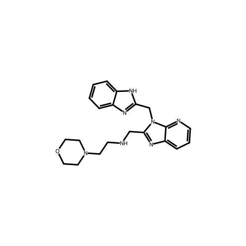 c1ccc2[nH]c(Cn3c(CNCCN4CCOCC4)nc4cccnc43)nc2c1